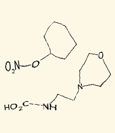 O=C(O)NCCN1CCOCC1.O=[N+]([O-])OC1CCCCC1